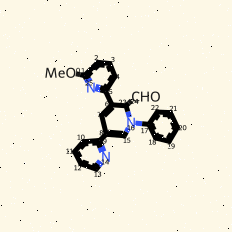 COc1cccc(C2=CC(c3ccccn3)=CN(c3ccccc3)C2C=O)n1